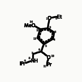 CCOc1ccc(C(CNC(C)C)OC(C)C)cc1OC